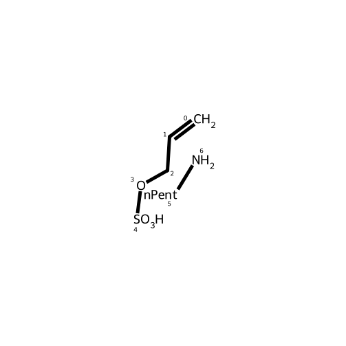 C=CCOS(=O)(=O)O.CCCCCN